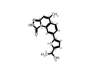 Cc1cc2n[nH]c(=O)n2c2cc(-c3ccc(C(C)O)s3)ccc12